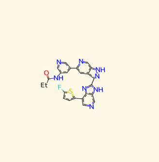 CCC(=O)Nc1cncc(-c2cc3c(-c4nc5c(-c6ccc(F)s6)cncc5[nH]4)n[nH]c3cn2)c1